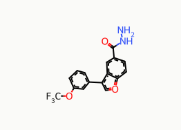 NNC(=O)c1ccc2occ(-c3cccc(OC(F)(F)F)c3)c2c1